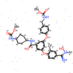 CC(=O)N(O)C(=N)c1ccc(Oc2cc(Oc3ccc(CNC(=O)OC(C)(C)C)cc3)cc(C(=O)NC3CCC(NC(=O)OC(C)(C)C)CC3)c2)c(C(F)(F)F)c1